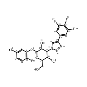 OCC1OC(Sc2cc(Cl)ccc2F)C(O)C(n2cc(-c3cc(F)c(F)c(F)c3)nn2)C1O